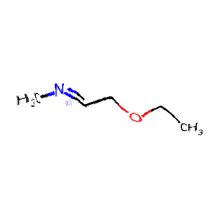 CCOC/C=N/C